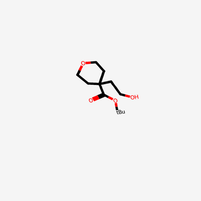 CC(C)(C)OC(=O)C1(CCO)CCOCC1